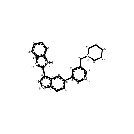 c1ccc2[nH]c(-c3n[nH]c4ccc(-c5cncc(CN6CCCCC6)c5)cc34)nc2c1